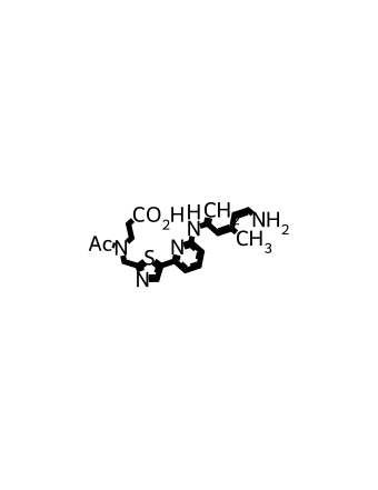 C=C(/C=C(C)\C=C/N)Nc1cccc(-c2cnc(CN(CCC(=O)O)C(C)=O)s2)n1